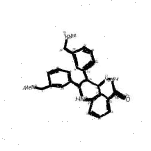 CNCc1cccc(C2Nc3cccc4c(=O)[nH]nc(c34)C2c2cccc(CNC)c2)c1